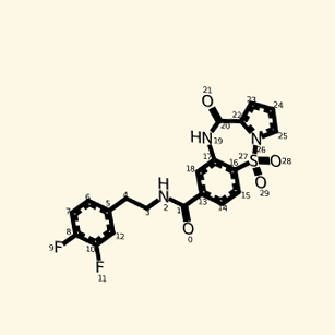 O=C(NCCc1ccc(F)c(F)c1)c1ccc2c(c1)NC(=O)c1cccn1S2(=O)=O